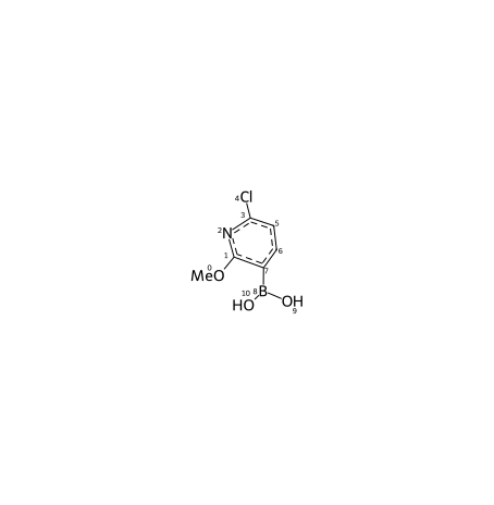 COc1nc(Cl)ccc1B(O)O